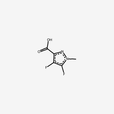 Cn1nc(C(=O)O)c(F)c1F